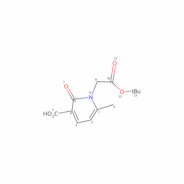 Cc1ccc(C(=O)O)c(=O)n1CC(=O)OC(C)(C)C